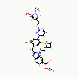 COC(=O)c1ccc2nc(Cc3cc(F)c(-c4cccc(OCc5cc(Br)n(C)n5)n4)cc3F)n(CC[C@@H]3CCO3)c2c1